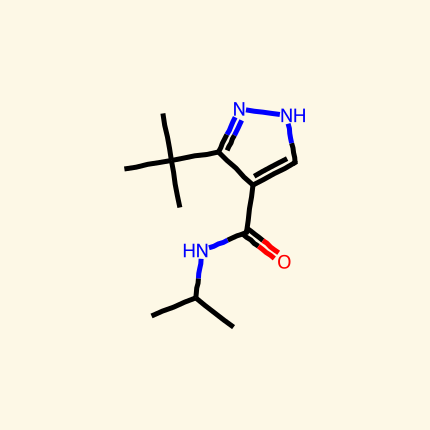 CC(C)NC(=O)c1c[nH]nc1C(C)(C)C